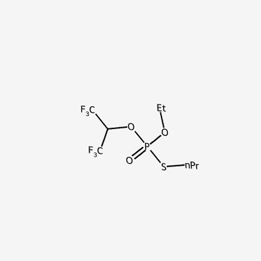 CCCSP(=O)(OCC)OC(C(F)(F)F)C(F)(F)F